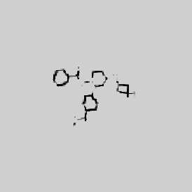 COC(=O)c1ccc([C@@H]2C[C@@H](OC3CC(F)(F)C3)CCN2OC(=O)c2ccccc2)cc1